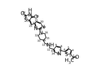 CC(=O)c1ccc(-c2ccc(CNCC3CCN(c4nccc(C=C5SC(=O)NC5=O)n4)CC3)cn2)s1